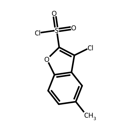 Cc1ccc2oc(S(=O)(=O)Cl)c(Cl)c2c1